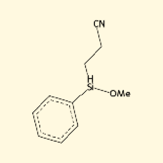 CO[SiH](CCC#N)c1ccccc1